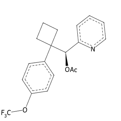 CC(=O)O[C@H](c1ccccn1)C1(c2ccc(OC(F)(F)F)cc2)CCC1